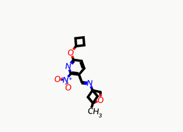 CC12CC(/N=C/c3ccc(OC4CCC4)nc3[N+](=O)[O-])(CO1)C2